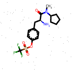 CN(C(=O)[C@@H](N)Cc1ccc(OS(=O)(=O)C(F)(F)F)cc1)C1CCCC1